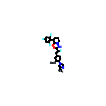 COc1cc(C=C(F)C(=O)NN2CCCC(c3c(F)cc(F)cc3F)C2=O)ccc1-n1cnc(C)c1